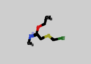 CCO/C(CSCCl)=N/C